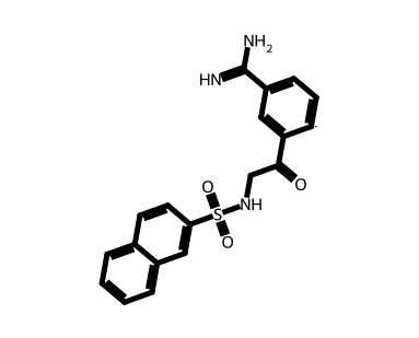 N=C(N)c1cc[c]c(C(=O)CNS(=O)(=O)c2ccc3ccccc3c2)c1